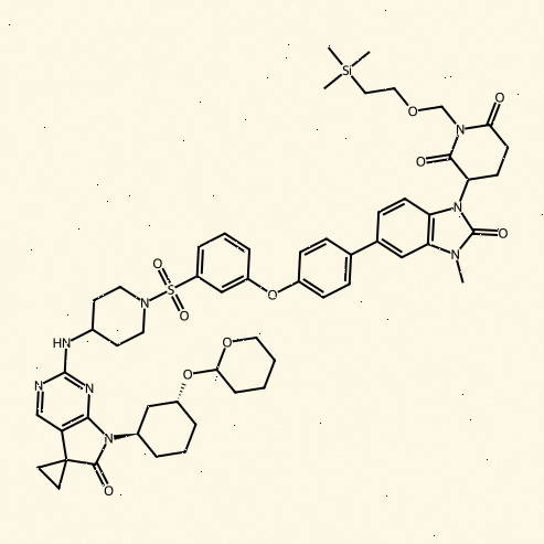 Cn1c(=O)n(C2CCC(=O)N(COCC[Si](C)(C)C)C2=O)c2ccc(-c3ccc(Oc4cccc(S(=O)(=O)N5CCC(Nc6ncc7c(n6)N([C@@H]6CCC[C@@H](OC8CCCCO8)C6)C(=O)C76CC6)CC5)c4)cc3)cc21